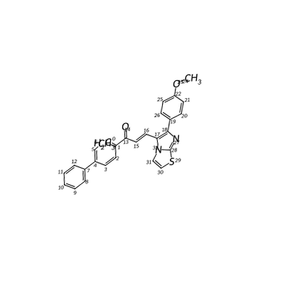 C=C(/C=C\C(=C/C)c1ccccc1)C(=O)/C=C/c1c(-c2ccc(OC)cc2)nc2sccn12